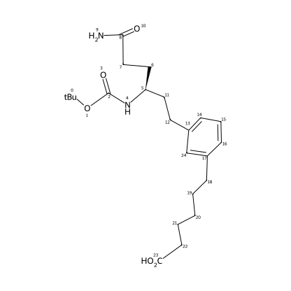 CC(C)(C)OC(=O)N[C@@H](CCC(N)=O)CCc1cccc(CCCCCC(=O)O)c1